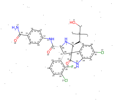 CC(C)(CO)C[C@@H]1N[C@@H](C(=O)Nc2ccc(C(N)=O)cc2)[C@@H](c2cccc(Cl)c2F)C12C(=O)Nc1cc(Cl)ccc12